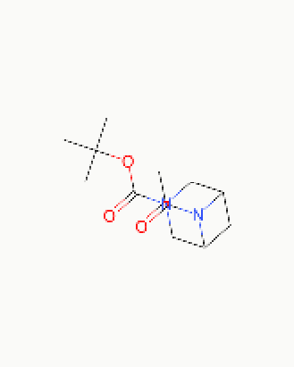 CC(=O)N1C2CC1CN(C(=O)OC(C)(C)C)C2